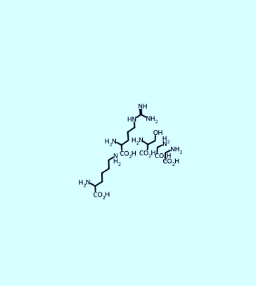 N=C(N)NCCCC(N)C(=O)O.NC(CO)C(=O)O.NCC(=O)O.NCC(=O)O.NCCCCC(N)C(=O)O